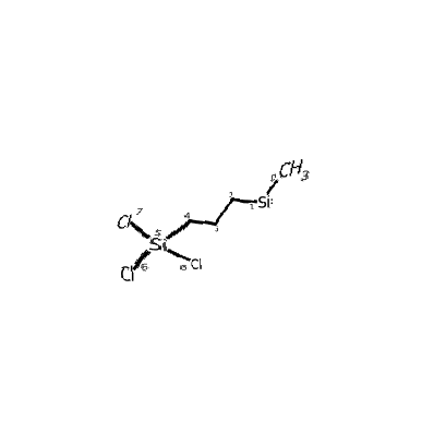 C[Si]CCC[Si](Cl)(Cl)Cl